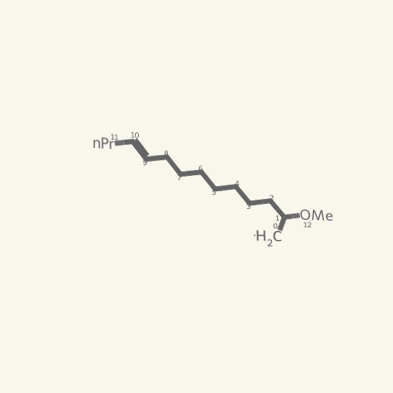 [CH2]C(CCCCCCCC=CCCC)OC